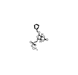 COS(=O)(=O)CC[C@H]1O[C@@H](OCc2ccccc2)[C@@H]2OC(=O)O[C@@H]21